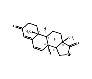 C[C@]12CCC(=O)C=C1C=C[C@@H]1[C@@H]2CC[C@]2(C)C(=O)NC[C@@H]12